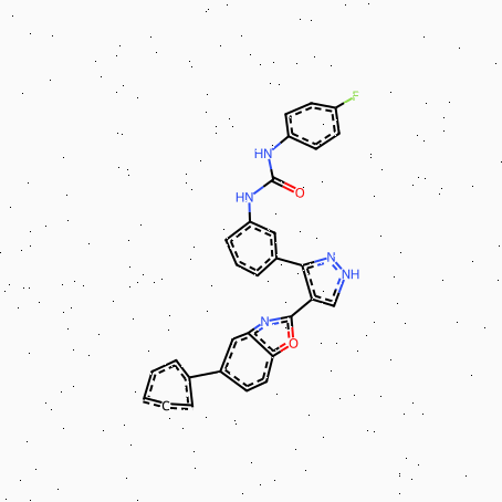 O=C(Nc1ccc(F)cc1)Nc1cccc(-c2n[nH]cc2-c2nc3cc(-c4ccccc4)ccc3o2)c1